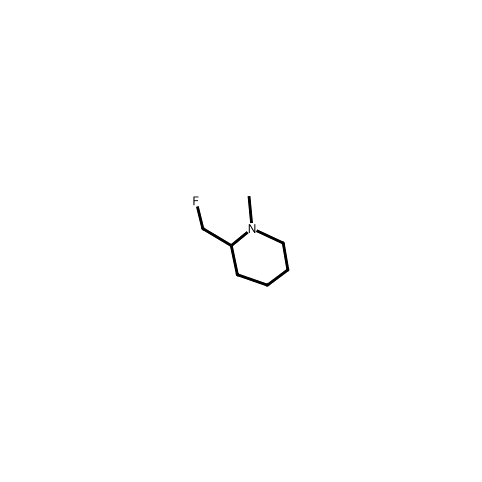 CN1CCCCC1CF